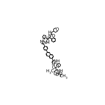 COC(=O)NC(C(=O)N1CCC[C@H]1c1ncc(-c2ccc3cc(-c4ccc(-c5cnc([C@@H]6CCCN6C(=O)[C@H](NC(=O)CC6CCOCC6)c6ccccc6)[nH]5)cc4)ccc3c2)[nH]1)C(C)C